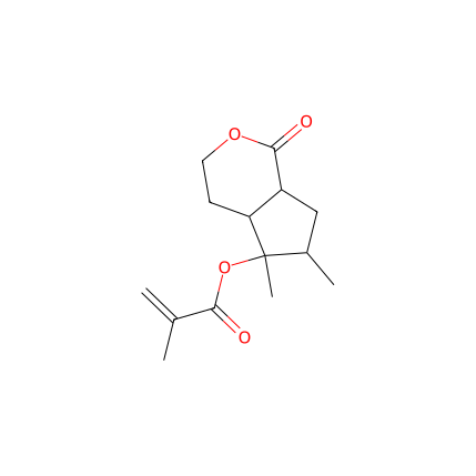 C=C(C)C(=O)OC1(C)C(C)CC2C(=O)OCCC21